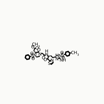 COC(=O)C[C@H]1C(=O)N(CC(=O)N[C@@H](CCCNC(=N)NS(=O)(=O)c2ccc(C)cc2)C(=O)c2nccs2)CCN1S(=O)(=O)c1ccccc1